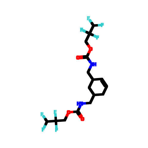 O=C(NCC1C=CCC(CNC(=O)OCC(F)(F)C(F)F)C1)OCC(F)(F)C(F)F